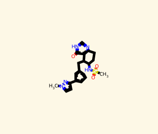 Cn1ccc(-c2cccc(CC3c4c(nc[nH]c4=O)CCC3NS(C)(=O)=O)c2)n1